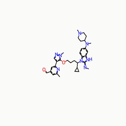 C/N=c1\[nH]c2cc(N(C)C3CCN(C)CC3)ccc2n1C(CCCOc1c(-c2cc(C=O)cc(C)n2)cnn1C)C1CC1